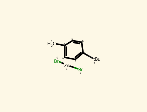 [Br][Zn][Br].[CH2]c1ccc(C(C)(C)C)cc1